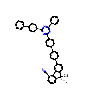 CC1(C)c2ccc(-c3ccc(-c4ccc(-c5nc(-c6ccccc6)nc(-c6ccc(-c7ccccc7)cc6)n5)cc4)cc3)cc2-c2c(C#N)cccc21